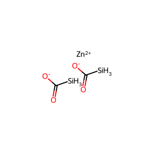 O=C([O-])[SiH3].O=C([O-])[SiH3].[Zn+2]